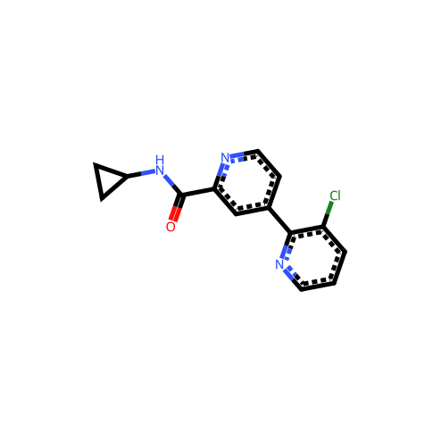 O=C(NC1CC1)c1cc(-c2ncccc2Cl)ccn1